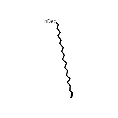 [CH]=CCCCCCCCCCCCCCCCCCCCCCCCCCCC[CH2]